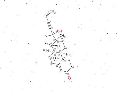 C=CC#CC1(O)CC[C@H]2[C@@H]3CCC4=CC(=O)CC[C@]4(C)[C@@H]3CC[C@@]21C